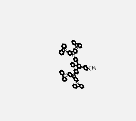 N#Cc1ccc(-c2cc(-c3ccc(-n4c5ccc(-n6c7ccccc7c7ccccc76)cc5c5cc(-n6c7ccccc7c7ccccc76)ccc54)cc3)c(-c3ccccc3)c(-c3ccc(-n4c5ccc(-n6c7ccccc7c7ccccc76)cc5c5cc(-n6c7ccccc7c7ccccc76)ccc54)cc3)c2)cc1